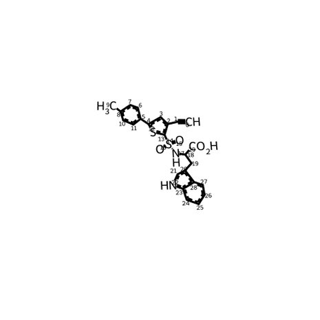 C#Cc1cc(-c2ccc(C)cc2)sc1S(=O)(=O)NC(Cc1c[nH]c2ccccc12)C(=O)O